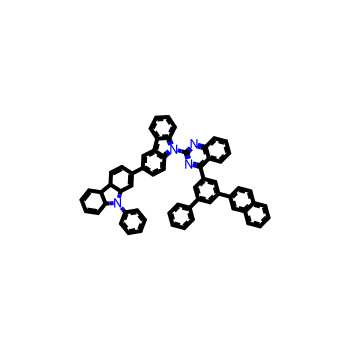 C1=CC2C3C=CC(c4ccc5c(c4)c4ccccc4n5-c4nc(-c5cc(-c6ccccc6)cc(-c6ccc7ccccc7c6)c5)c5ccccc5n4)=CC3N(c3ccccc3)C2C=C1